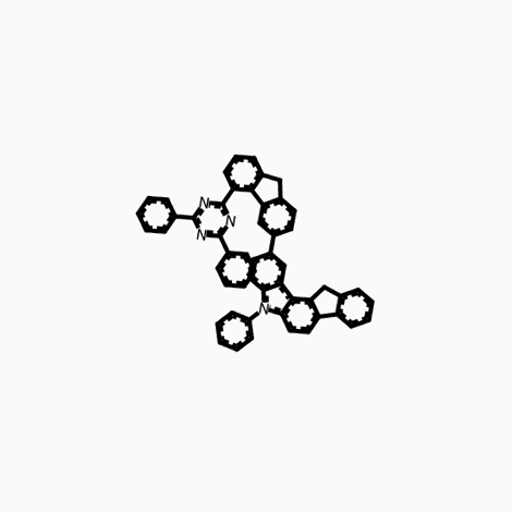 c1ccc(-c2nc(-c3ccccc3)nc(-c3cccc4c3-c3cc(-c5ccc6c(c5)c5c7c(ccc5n6-c5ccccc5)-c5ccccc5C7)ccc3C4)n2)cc1